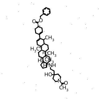 CC(=O)N1CCC(O)(CCN[C@]23CCC[C@@H]2[C@H]2CCC4[C@@]5(C)CC=C(C6=CC[C@H](C(=O)OCc7ccccc7)CC6)C(C)C5CC[C@@]4(C)[C@]2(C)CC3)CC1